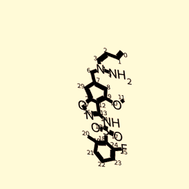 C=C/C=C\N(N)Cc1cc(OC)c2c(NS(=O)(=O)c3c(C)cccc3F)noc2c1